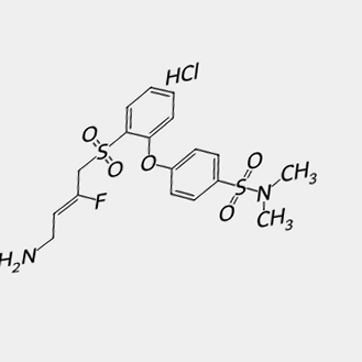 CN(C)S(=O)(=O)c1ccc(Oc2ccccc2S(=O)(=O)C/C(F)=C/CN)cc1.Cl